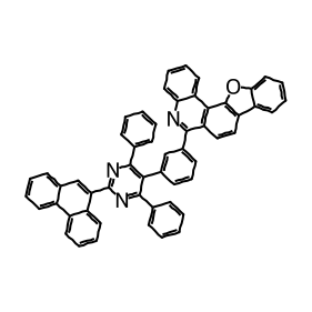 c1ccc(-c2nc(-c3cc4ccccc4c4ccccc34)nc(-c3ccccc3)c2-c2cccc(-c3nc4ccccc4c4c3ccc3c5ccccc5oc34)c2)cc1